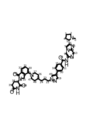 CN1CCC[C@@H]1c1cn2cc(NC(=O)c3ccc(-c4cnn(CCCC5CCN(c6cccc7c6CN(C6CCC(=O)NC6=O)C7=O)CC5)c4)cc3)ncc2n1